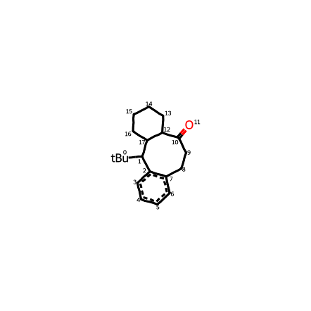 CC(C)(C)C1c2ccccc2CCC(=O)C2CCCCC21